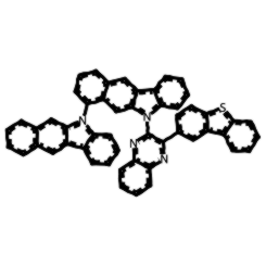 c1ccc2cc3c(cc2c1)c1ccccc1n3-c1cccc2cc3c4ccccc4n(-c4nc5ccccc5nc4-c4ccc5sc6ccccc6c5c4)c3cc12